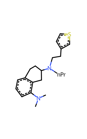 CCCN(CCc1ccsc1)C1CCc2cccc(N(C)C)c2C1